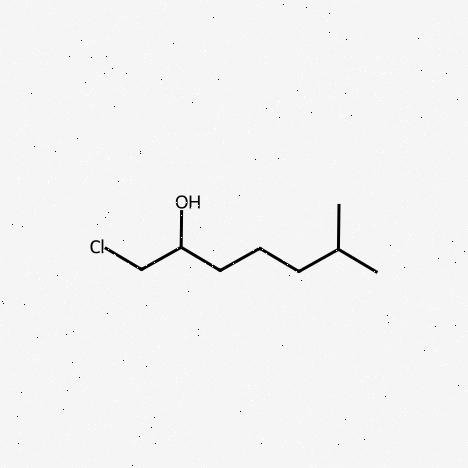 CC(C)CCCC(O)CCl